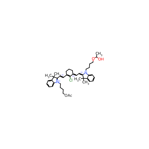 CC(=O)OCCCC[N+]1=C(/C=C/C2=C(Cl)C(=C/C=C3/N(CCCCOC(C)O)c4ccccc4C3(C)C)/CCC2)C(C)(C)c2ccccc21